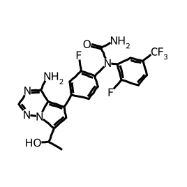 CC(O)c1cc(-c2ccc(N(C(N)=O)c3cc(C(F)(F)F)ccc3F)c(F)c2)c2c(N)ncnn12